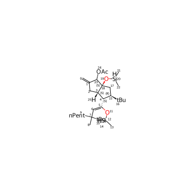 C=C1C[C@H]2[C@@H](C(=CC(C)(CCCCC)C(C)(C)C)O[SiH](C)C)[C@H](C(C)(C)C)C[C@@]2(O[SiH](C)C)C1OC(C)=O